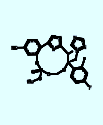 CC1c2nc(cs2)-c2ccc(C#N)cc2OP(=O)(OC(C)(C)C)OCO[C@@]1(Cn1cncn1)c1ccc(F)cc1F